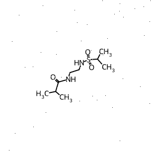 CC(C)C(=O)NCCNS(=O)(=O)C(C)C